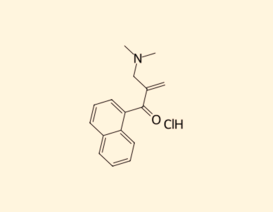 C=C(CN(C)C)C(=O)c1cccc2ccccc12.Cl